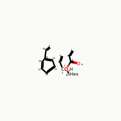 C=CC(=O)O.C=CC(=O)OCCCCCC.C=Cc1ccccc1